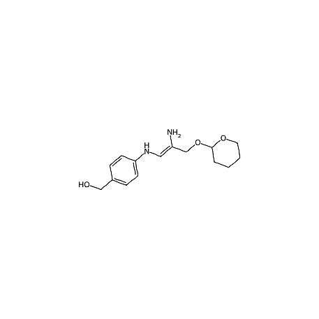 N/C(=C\Nc1ccc(CO)cc1)COC1CCCCO1